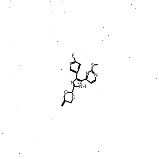 C=C1COC(c2nc(-c3ccc(F)cc3)c(-c3ccnc(SC)n3)[nH]2)OC1